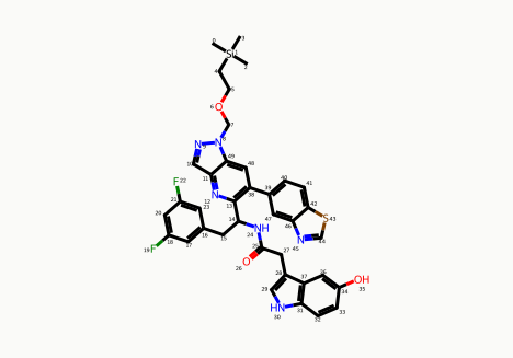 C[Si](C)(C)CCOCn1ncc2nc(C(Cc3cc(F)cc(F)c3)NC(=O)Cc3c[nH]c4ccc(O)cc34)c(-c3ccc4scnc4c3)cc21